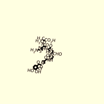 CC(C)(O/N=C(\C(=O)N[C@@H]1C(=O)N2C[C@@]([C]=O)(N3CCN(NC(=O)C4CN(C(=O)C(=O)c5ccc(O)c(O)c5Cl)C4)C3=O)S[C@H]12)c1csc(N)n1)C(=O)O